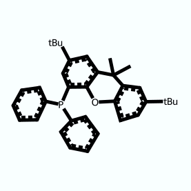 CC(C)(C)c1ccc2c(c1)C(C)(C)c1cc(C(C)(C)C)cc(P(c3ccccc3)c3ccccc3)c1O2